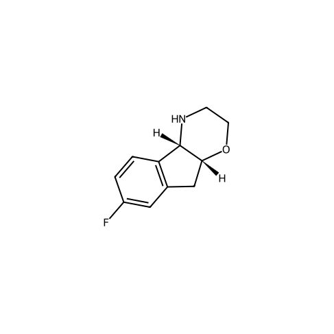 Fc1ccc2c(c1)C[C@H]1OCCN[C@@H]21